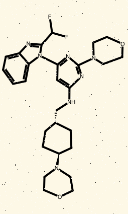 FC(F)c1nc2ccccc2n1-c1cc(NC[C@H]2CC[C@H](N3CCOCC3)CC2)nc(N2CCOCC2)n1